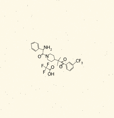 CC(C)(C1CCN(C(=O)[C@H](N)c2ccccc2)CC1)S(=O)(=O)c1cccc(C(F)(F)F)c1.O=C(O)C(F)(F)F